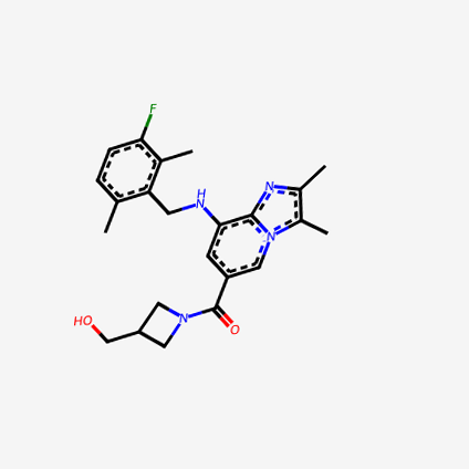 Cc1ccc(F)c(C)c1CNc1cc(C(=O)N2CC(CO)C2)cn2c(C)c(C)nc12